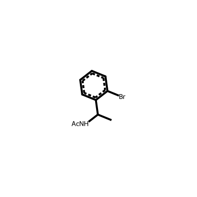 CC(=O)NC(C)c1ccccc1Br